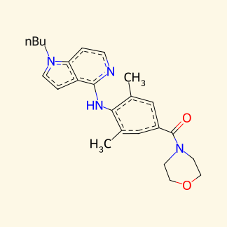 CCCCn1ccc2c(Nc3c(C)cc(C(=O)N4CCOCC4)cc3C)nccc21